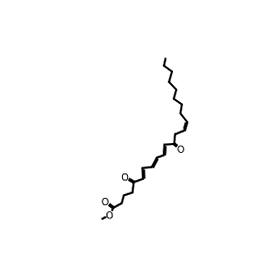 CCCCCCCC/C=C\CC(=O)/C=C/C=C/C=C/C(=O)CCCC(=O)OC